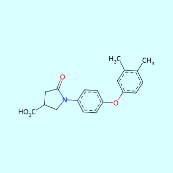 Cc1ccc(Oc2ccc(N3CC(C(=O)O)CC3=O)cc2)cc1C